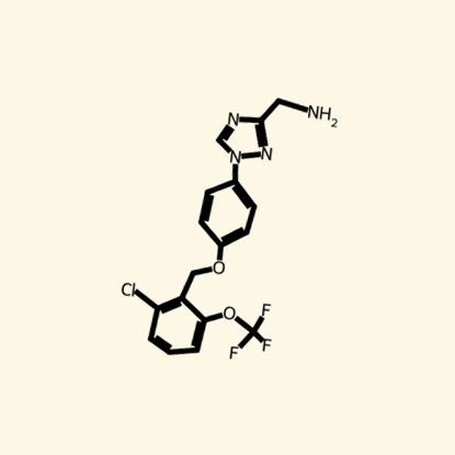 NCc1ncn(-c2ccc(OCc3c(Cl)cccc3OC(F)(F)F)cc2)n1